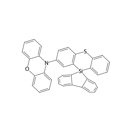 c1ccc2c(c1)Oc1ccccc1N2c1ccc2c(c1)[Si]1(c3ccccc3S2)c2ccccc2-c2ccccc21